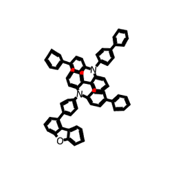 c1ccc(-c2ccc(N(c3ccc(-c4ccccc4)cc3)c3ccccc3-c3ccccc3N(c3ccc(-c4ccccc4)cc3)c3ccc(-c4cccc5oc6ccccc6c45)cc3)cc2)cc1